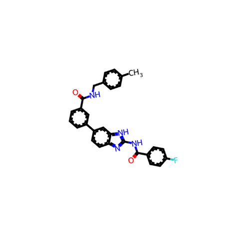 Cc1ccc(CNC(=O)c2cccc(-c3ccc4nc(NC(=O)c5ccc(F)cc5)[nH]c4c3)c2)cc1